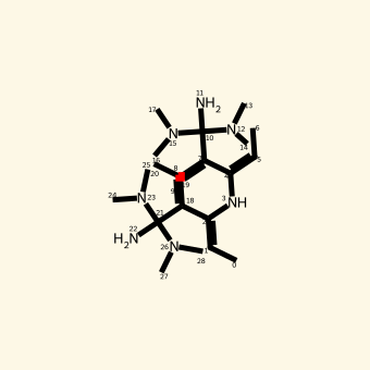 CC=C(NC(=CC)C(=CC)C(N)(N(C)C)N(C)C)C(=CC)C(N)(N(C)C)N(C)C